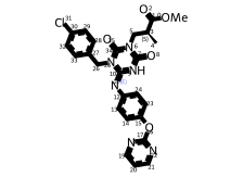 COC(=O)[C@@H](C)Cn1c(=O)[nH]/c(=N\c2ccc(Oc3ncccn3)cc2)n(Cc2ccc(Cl)cc2)c1=O